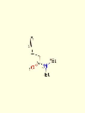 [C]#CCCC(=O)N(CC)CC